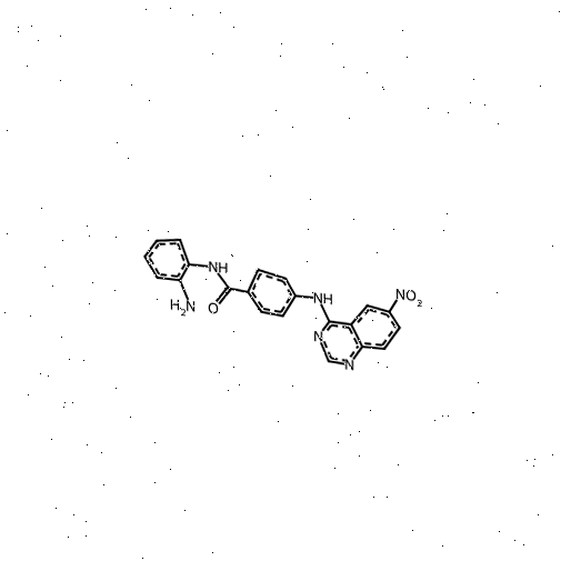 Nc1ccccc1NC(=O)c1ccc(Nc2ncnc3ccc([N+](=O)[O-])cc23)cc1